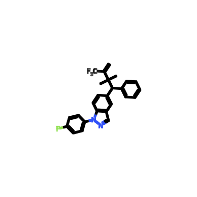 C=C(C(F)(F)F)C(C)(C)C(c1ccccc1)c1ccc2c(cnn2-c2ccc(F)cc2)c1